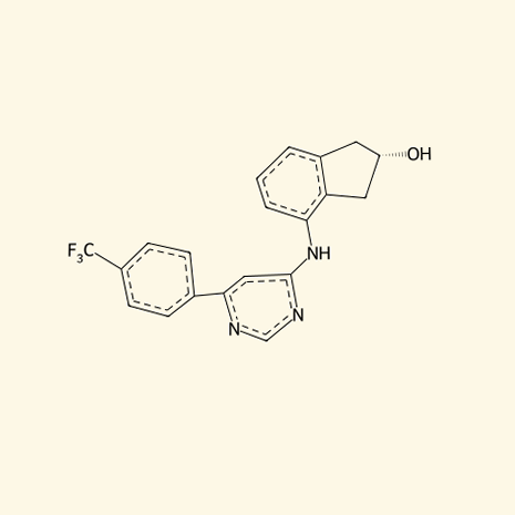 O[C@H]1Cc2cccc(Nc3cc(-c4ccc(C(F)(F)F)cc4)ncn3)c2C1